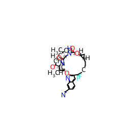 CC(=O)[C@@H]1[C@H](C)[C@@H]2CN1C(=O)[C@H](C(C)(C)C)NC(=O)O[C@@H]1C[C@H]1CCCCC(F)(F)c1cc3ccc(C#N)cc3nc1O2